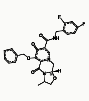 CC1CO[C@H]2Cn3cc(C(=O)NCc4ccc(F)cc4F)c(=O)c(OCc4ccccc4)c3C(=O)N12